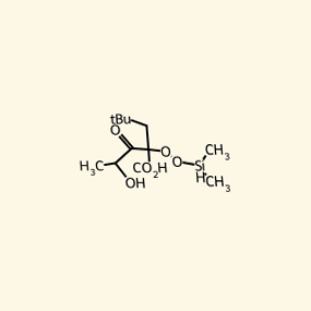 CC(O)C(=O)C(CC(C)(C)C)(OO[SiH](C)C)C(=O)O